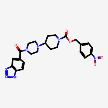 O=C(OCc1ccc([N+](=O)[O-])cc1)N1CCC(N2CCN(C(=O)c3ccc4[nH]nnc4c3)CC2)CC1